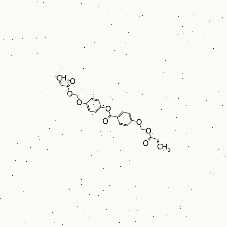 C=CC(=O)OCOc1ccc(OC(=O)c2ccc(OCOC(=O)C=C)cc2)cc1